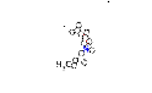 CC1CC=Cc2c1ccc(-c1ccc(N(c3ccc(-c4ccc5c6ccccc6c6ccccc6c5c4)cc3)c3ccccc3-c3ccc(-c4ccccc4)cc3)cc1)c2-c1ccccc1